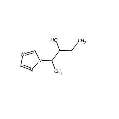 CCC(O)C(C)n1cncn1